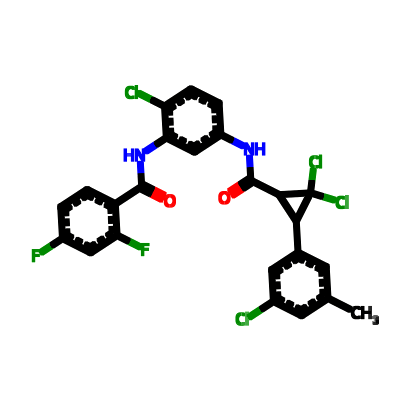 Cc1cc(Cl)cc(C2C(C(=O)Nc3ccc(Cl)c(NC(=O)c4ccc(F)cc4F)c3)C2(Cl)Cl)c1